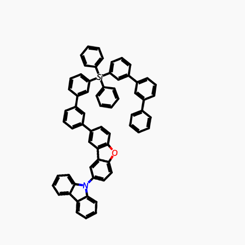 c1ccc(-c2cccc(-c3cccc([Si](c4ccccc4)(c4ccccc4)c4cccc(-c5cccc(-c6ccc7oc8ccc(-n9c%10ccccc%10c%10ccccc%109)cc8c7c6)c5)c4)c3)c2)cc1